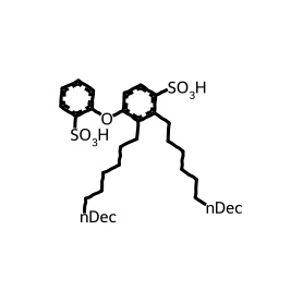 CCCCCCCCCCCCCCCCc1c(Oc2ccccc2S(=O)(=O)O)ccc(S(=O)(=O)O)c1CCCCCCCCCCCCCCCC